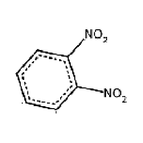 O=[N+]([O-])c1[c][c]ccc1[N+](=O)[O-]